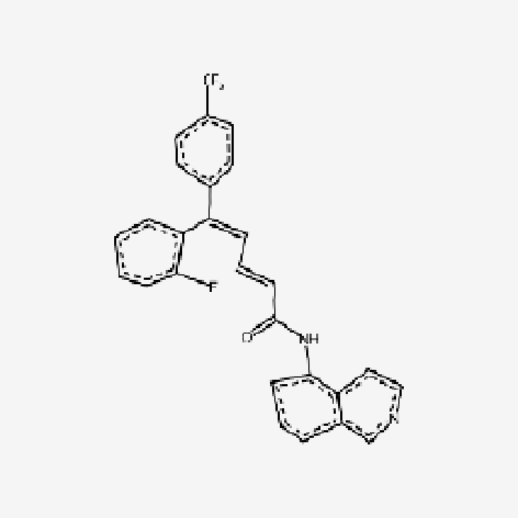 O=C(C=CC=C(c1ccc(C(F)(F)F)cc1)c1ccccc1F)Nc1cccc2cnccc12